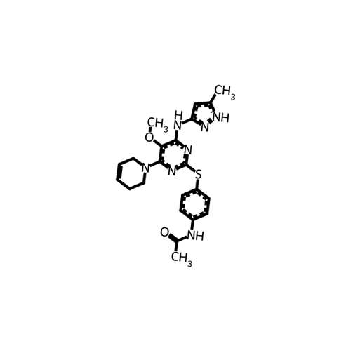 COc1c(Nc2cc(C)[nH]n2)nc(Sc2ccc(NC(C)=O)cc2)nc1N1CC=CCC1